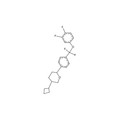 Fc1ccc(OC(F)(F)c2ccc(C3CCC(C4CCC4)CO3)cc2)cc1F